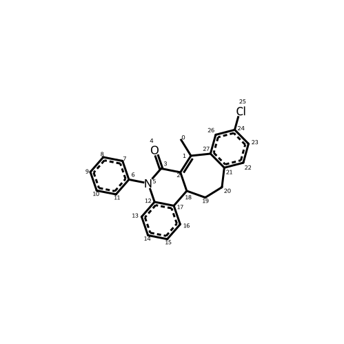 CC1=C2C(=O)N(c3ccccc3)c3ccccc3C2CCc2ccc(Cl)cc21